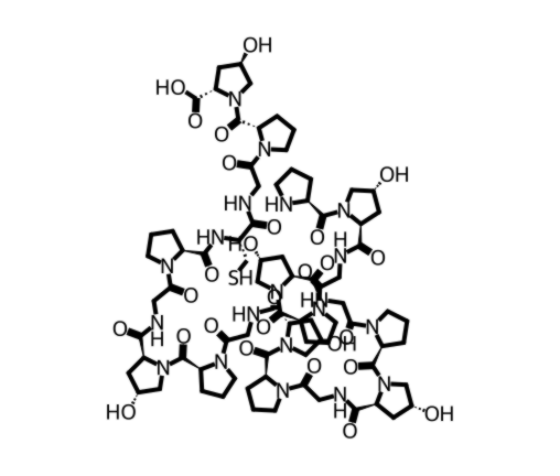 O=C(NCC(=O)N1CCC[C@H]1C(=O)N1C[C@H](O)C[C@H]1C(=O)O)[C@H](CS)NC(=O)[C@@H]1CCCN1C(=O)CNC(=O)[C@@H]1C[C@@H](O)CN1C(=O)[C@@H]1CCCN1C(=O)CNC(=O)[C@@H]1C[C@@H](O)CN1C(=O)[C@@H]1CCCN1C(=O)CNC(=O)[C@@H]1C[C@@H](O)CN1C(=O)[C@@H]1CCCN1C(=O)CNC(=O)[C@@H]1C[C@@H](O)CN1C(=O)[C@@H]1CCCN1C(=O)CNC(=O)[C@@H]1C[C@@H](O)CN1C(=O)[C@@H]1CCCN1